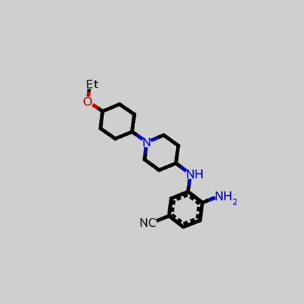 CCOC1CCC(N2CCC(Nc3cc(C#N)ccc3N)CC2)CC1